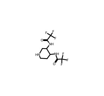 O=C(NC1CCNCC1NC(=O)C(F)(F)F)C(F)(F)F